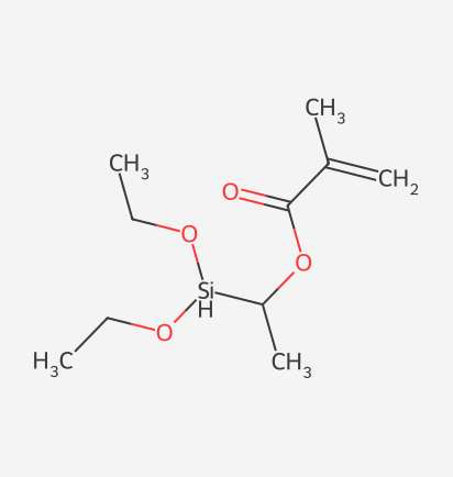 C=C(C)C(=O)OC(C)[SiH](OCC)OCC